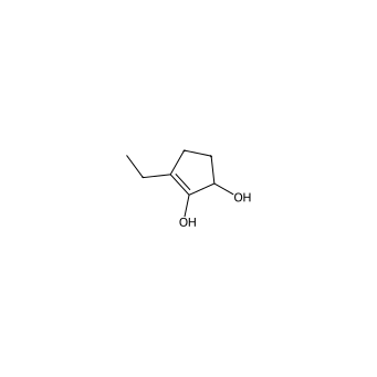 CCC1=C(O)C(O)CC1